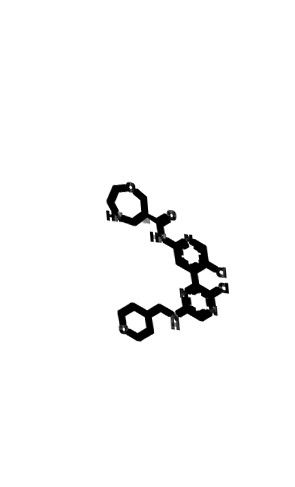 O=C(Nc1cc(-c2nc(NCC3CCOCC3)cnc2Cl)c(Cl)cn1)[C@H]1CNCCOC1